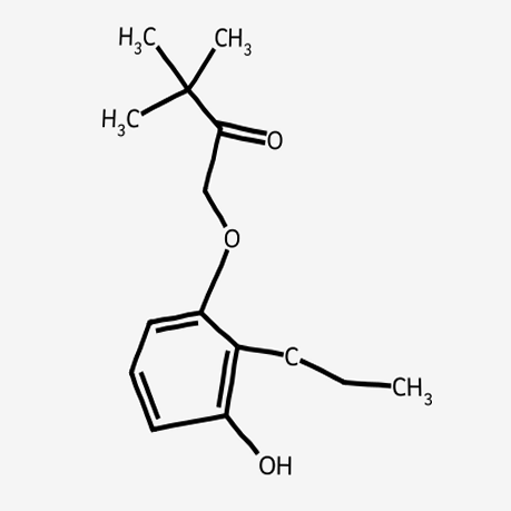 CCCc1c(O)cccc1OCC(=O)C(C)(C)C